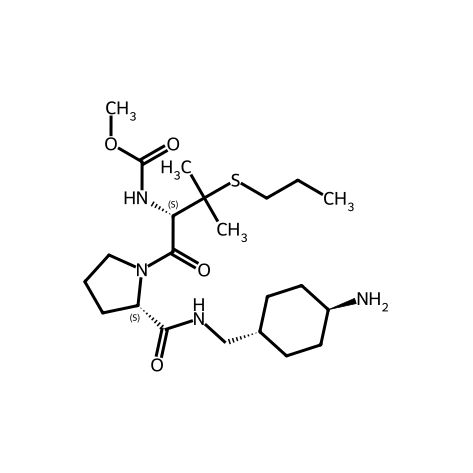 CCCSC(C)(C)[C@@H](NC(=O)OC)C(=O)N1CCC[C@H]1C(=O)NC[C@H]1CC[C@H](N)CC1